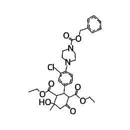 CCOC(=O)C1C(=O)CC(C)(O)C(C(=O)OCC)C1c1ccc(N2CCN(C(=O)OCc3ccccc3)CC2)c(Cl)c1